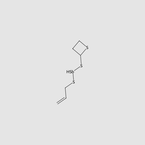 C=CC[S][SbH][S]C1CCS1